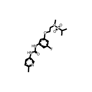 Cc1ccc(NC(=O)Nc2cc(F)cc(OCCN(C)S(=O)(=O)C(C)C)c2)cn1